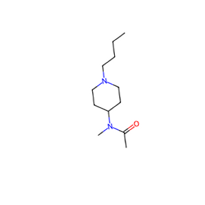 CCCCN1CCC(N(C)C(C)=O)CC1